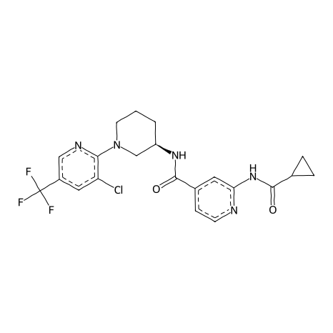 O=C(N[C@@H]1CCCN(c2ncc(C(F)(F)F)cc2Cl)C1)c1ccnc(NC(=O)C2CC2)c1